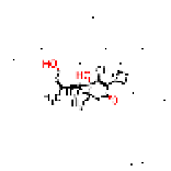 CC1=C(C2CCC2)C(=O)CC(C)(C)C1(O)C#C/C(C)=C\CO